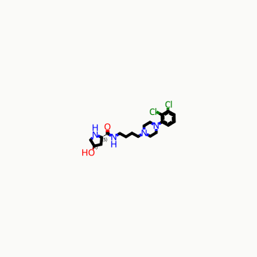 O=C(NCCCCN1CCN(c2cccc(Cl)c2Cl)CC1)[C@@H]1C[C@@H](O)CN1